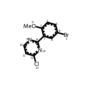 COc1ccc(Br)cc1-c1nccc(Cl)n1